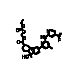 CCOC(=O)OCOC(=O)C1CCC(C(C)(O)c2ccc(-c3cc(C)cc(Nc4cc(C(F)F)ccn4)n3)cn2)CC1